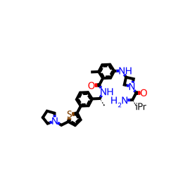 Cc1ccc(NC2CN(C(=O)[C@@H](N)C(C)C)C2)cc1C(=O)N[C@H](C)c1cccc(-c2ccc(CN3CCCC3)s2)c1